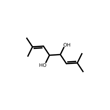 CC(C)=CC(O)C(O)C=C(C)C